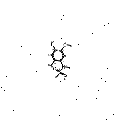 COc1cc(N(C)S(C)(=O)=O)c(C)cc1F